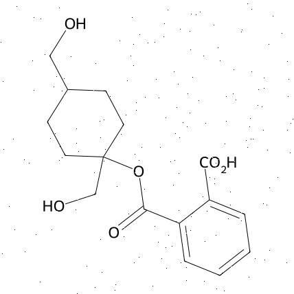 O=C(O)c1ccccc1C(=O)OC1(CO)CCC(CO)CC1